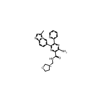 Cc1cnc2ccc(-c3nc(C(=O)NC[C@H]4CCOC4)c(N)nc3-c3ccccn3)cn12